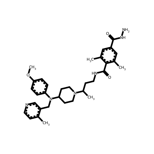 COc1ccc(N(Cc2cnccc2C)C2CCN(C(C)CCNC(=O)c3c(C)cc(C(=O)NN)cc3C)CC2)cc1